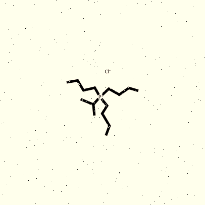 CCCC[P+](CCCC)(CCCC)C(C)C.[Cl-]